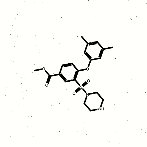 COC(=O)c1ccc(Oc2cc(C)cc(C)c2)c(S(=O)(=O)N2CCNCC2)c1